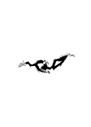 CCCCCCCCCCCCc1cnc(-c2ccc(CCCCCCCCCC)cc2)nc1